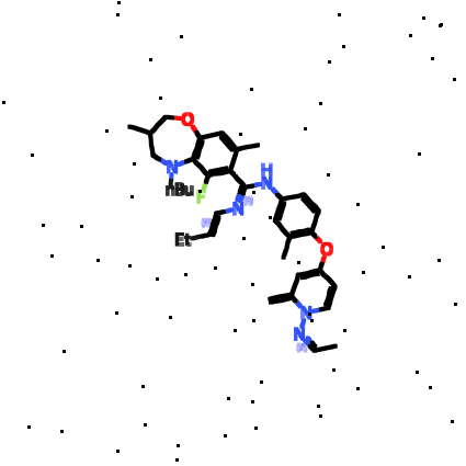 C=C1C=C(Oc2ccc(N/C(=N/C=C/CC)c3c(C)cc4c(c3F)N(CCCC)CC(C)CO4)cc2C)C=CN1/N=C\C